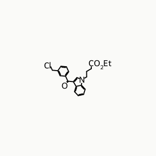 CCOC(=O)CCCn1cc(C(=O)c2cccc(CCl)c2)c2ccccc21